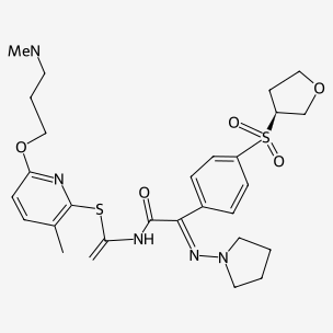 C=C(NC(=O)/C(=N/N1CCCC1)c1ccc(S(=O)(=O)[C@H]2CCOC2)cc1)Sc1nc(OCCCNC)ccc1C